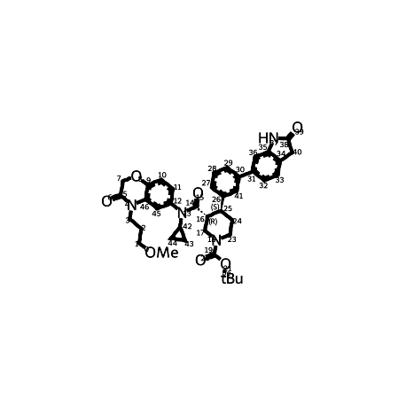 COCCCN1C(=O)COc2ccc(N(C(=O)[C@H]3CN(C(=O)OC(C)(C)C)CC[C@@H]3c3cccc(-c4ccc5c(c4)NC(=O)C5)c3)C3CC3)cc21